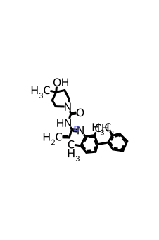 C=C/C(=N\c1c(C)ccc(-c2ccccc2C)c1C)NC(=O)N1CCC(C)(O)CC1